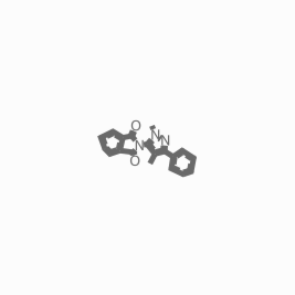 Cc1c(-c2ccccc2)nn(C)c1N1C(=O)c2ccccc2C1=O